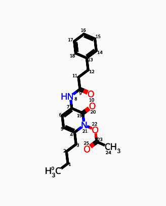 CCCCc1ccc(NC(=O)CCc2ccccc2)c(=O)n1OC(C)=O